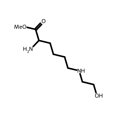 COC(=O)C(N)CCCCNCCO